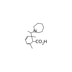 CC1=CC=CC(C)(C(C)N2CCCCCC2)C1C(=O)O